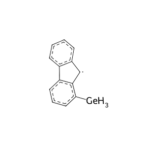 [GeH3][c]1cccc2c1[CH]c1ccccc1-2